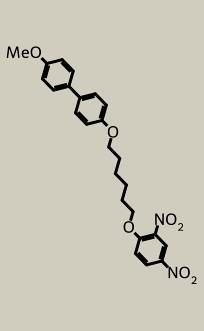 COc1ccc(-c2ccc(OCCCCCCOc3ccc([N+](=O)[O-])cc3[N+](=O)[O-])cc2)cc1